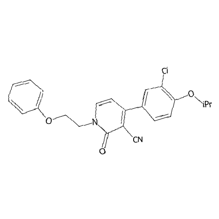 CC(C)Oc1ccc(-c2ccn(CCOc3ccccc3)c(=O)c2C#N)cc1Cl